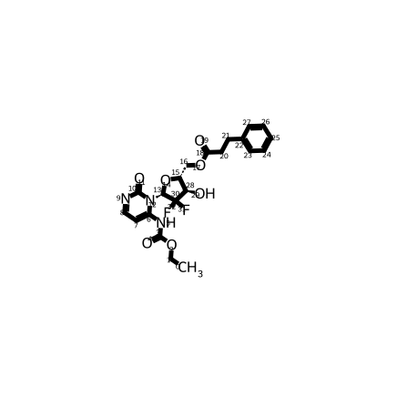 CCOC(=O)Nc1ccnc(=O)n1[C@@H]1O[C@H](COC(=O)CCc2ccccc2)[C@@H](O)C1(F)F